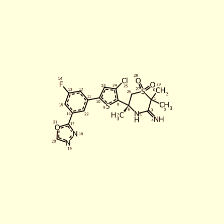 CC1(C)C(=N)N[C@](C)(c2sc(-c3cc(F)cc(-c4nnco4)c3)cc2Cl)CS1(=O)=O